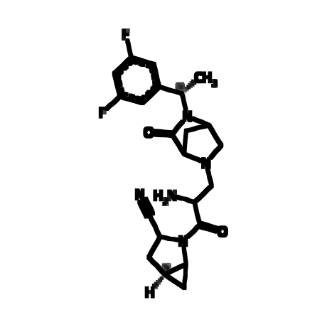 C[C@@H](c1cc(F)cc(F)c1)N1C(=O)C2CC1CN2CC(N)C(=O)N1C(C#N)C[C@@H]2CC21